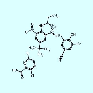 CCC(C)Nc1c([N+](=O)[O-])cc(C(C)(C)C)cc1[N+](=O)[O-].N#Cc1cc(Br)c(O)c(Br)c1.O=C(O)c1nc(Cl)ccc1Cl